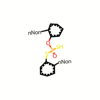 CCCCCCCCCc1ccccc1OP(=O)(S)Sc1ccccc1CCCCCCCCC